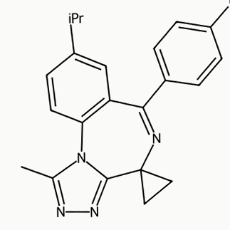 Cc1nnc2n1-c1ccc(C(C)C)cc1C(c1ccc(Cl)cc1)=NC21CC1